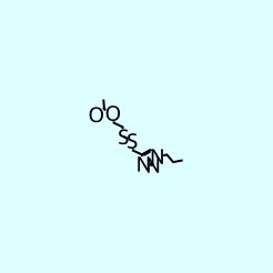 CCCn1cc(CSSCCOC(C)=O)nn1